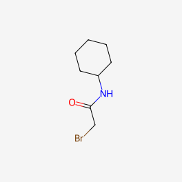 O=C(CBr)NC1CCCCC1